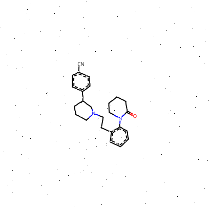 N#Cc1ccc(C2CCCN(CCc3ccccc3N3CCCCC3=O)C2)cc1